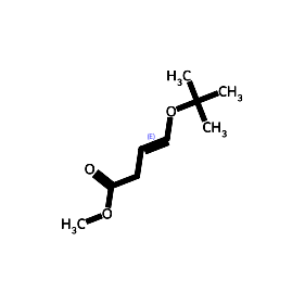 COC(=O)C/C=C/OC(C)(C)C